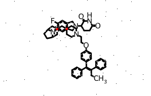 CCC(=C(c1ccccc1)c1ccc(OCCN2CCC(CN3CC4CCC(C3)N4c3cc4c(cc3F)CN(C3CCC(=O)NC3=O)C4)CC2)cc1)c1ccccc1